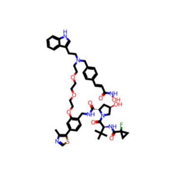 Cc1ncsc1-c1ccc(CNC(=O)[C@@H]2C[C@@H](O)CN2C(=O)[C@@H](NC(=O)C2(F)CC2)C(C)(C)C)c(OCCOCCOCCN(CCc2c[nH]c3ccccc23)Cc2ccc(/C=C/C(=O)NO)cc2)c1